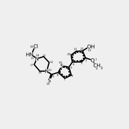 COc1cc(-c2ccc(C(=S)N3CCN(NCl)CC3)s2)ccc1O